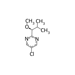 CO[C@H](c1ncc(Cl)cn1)C(C)C